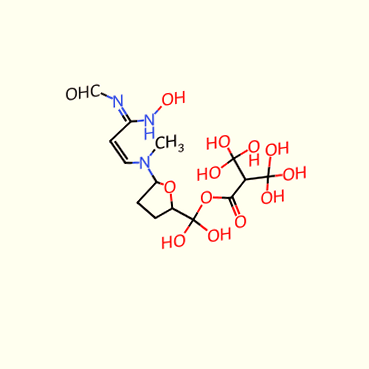 CN(/C=C\C(=N/C=O)NO)C1CCC(C(O)(O)OC(=O)C(C(O)(O)O)C(O)(O)O)O1